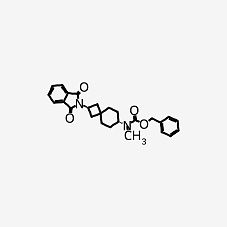 CN(C(=O)OCc1ccccc1)[C@H]1CCC2(CC1)C[C@H](N1C(=O)c3ccccc3C1=O)C2